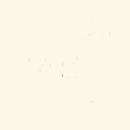 OB(O)O.OB(O)O.OB(O)O.OB(O)O.[Li][c]1c(C(F)(F)F)cc(C(F)(F)F)cc1C(F)(F)F